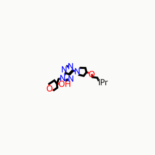 CC(C)CCOC1CCN(c2ncnc3c2ncn3CC2(O)CCOCC2)CC1